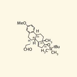 COc1ccc2c(c1)C[C@@H](CCC=O)[C@H]1C3=CC[C@H](O[Si](C)(C)C(C)(C)C)[C@@]3(C)CC[C@H]21